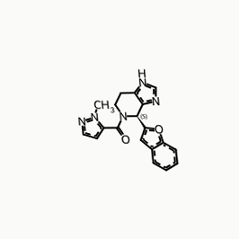 Cn1nccc1C(=O)N1CCc2[nH]cnc2[C@H]1c1cc2ccccc2o1